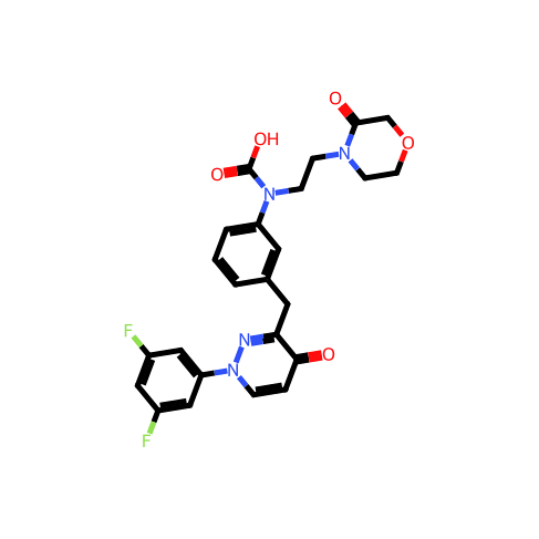 O=C1COCCN1CCN(C(=O)O)c1cccc(Cc2nn(-c3cc(F)cc(F)c3)ccc2=O)c1